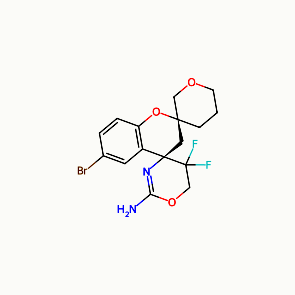 NC1=N[C@@]2(C[C@@]3(CCCOC3)Oc3ccc(Br)cc32)C(F)(F)CO1